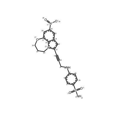 NS(=O)(=O)c1ccc(NCC#Cc2cc3cc([N+](=O)[O-])cc4c3n2CCCO4)cc1